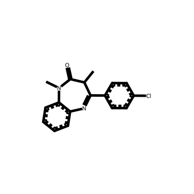 CC1C(=O)N(C)c2ccccc2N=C1c1ccc(Cl)cc1